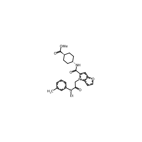 CCN(C(=O)Cn1c(C(=O)N[C@H]2CC[C@H](C(=O)OC)CC2)cc2occc21)c1cccc(C)c1